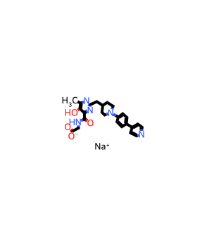 Cc1nc(CC2CCN(c3ccc(-c4ccncc4)cc3)CC2)nc(C(=O)NCC(=O)[O-])c1O.[Na+]